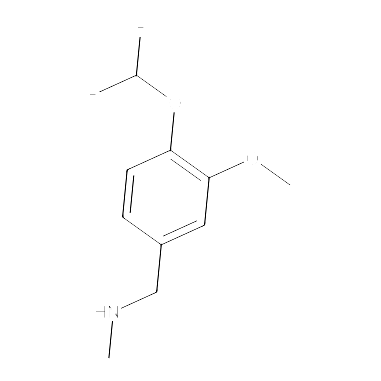 CNCc1ccc(OC(F)F)c(OC)c1